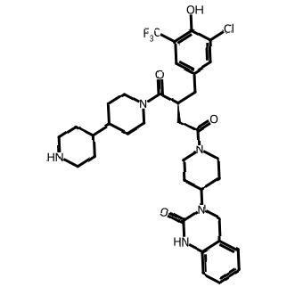 O=C(C[C@H](Cc1cc(Cl)c(O)c(C(F)(F)F)c1)C(=O)N1CCC(C2CCNCC2)CC1)N1CCC(N2Cc3ccccc3NC2=O)CC1